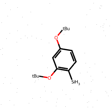 CC(C)(C)Oc1ccc([SiH3])c(OC(C)(C)C)c1